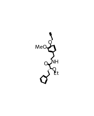 C#CCOc1ccc(CCNC(=O)[C@@H](CCc2ccccc2)OCC)cc1OC